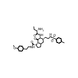 CC[C@H](N)C(=O)N[C@@H]1C(=O)N2C(CC[C@H]2C(=O)NCCc2ccc(OC)cc2)C[C@@H]1CCNS(=O)(=O)c1ccc(C)cc1